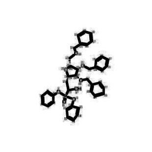 O=P(Oc1ccccc1)(Oc1ccccc1)C(O)C[C@@H]1O[C@H](COCc2ccccc2)[C@H](OCc2ccccc2)[C@@H]1OCc1ccccc1